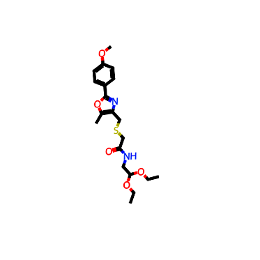 CCOC(CNC(=O)CSCc1nc(-c2ccc(OC)cc2)oc1C)OCC